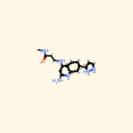 CNC(=O)CCNc1cc(N)nc2cc(-c3ccn[nH]3)ccc12